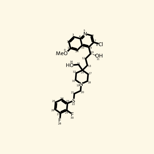 COc1ccc2ncc(Cl)c([C@H](O)CCC3(CO)CCN(CCSc4cccc(F)c4F)CC3)c2c1